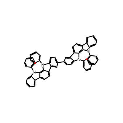 c1ccc(-n2c3ccccc3c3ccc4c5cc(-c6ccc7c(c6)c6ccc8c9ccccc9n(-c9ccccc9)c8c6n7-c6ccccc6)ccc5n(-c5ccccc5)c4c32)cc1